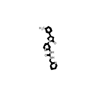 Cc1cccc(C2CC(=O)N(c3ccnc(NC(=O)NCc4ccccn4)c3)C2)c1